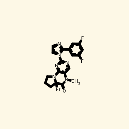 CCC12CCCN1c1nc(-n3ccnc3-c3cc(F)cc(F)c3)ncc1N(C)C2=O